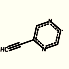 C#Cc1cn[c]cn1